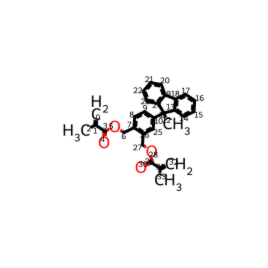 C=C(C)C(=O)OCc1ccc(C2(C)c3ccccc3-c3ccccc32)cc1COC(=O)C(=C)C